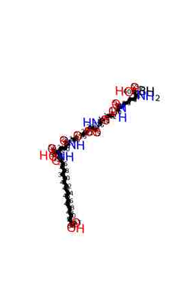 BNC(CCCCNC(=O)COCCOCCNC(=O)COCCOCCNC(=O)CCC(NC(=O)CCCCCCCCCCCCCCCCC(=O)O)C(=O)O)C(=O)O